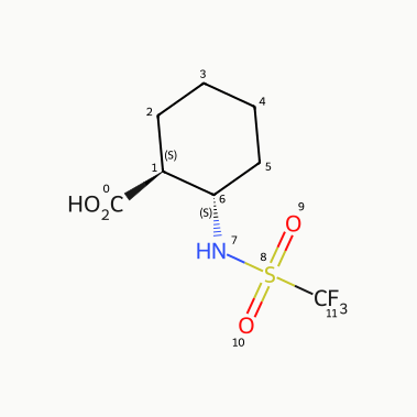 O=C(O)[C@H]1CCCC[C@@H]1NS(=O)(=O)C(F)(F)F